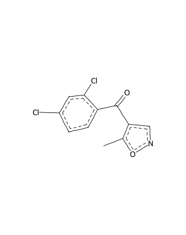 Cc1oncc1C(=O)c1ccc(Cl)cc1Cl